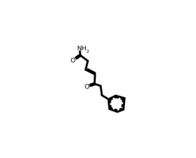 NC(=O)C/C=C/C(=O)CCc1ccccc1